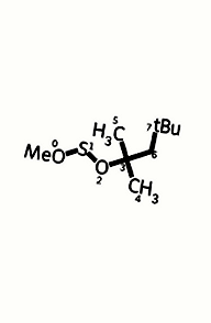 COSOC(C)(C)CC(C)(C)C